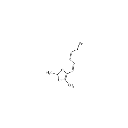 CC1=C(/C=C\C=C/CC(C)C)OC(C)O1